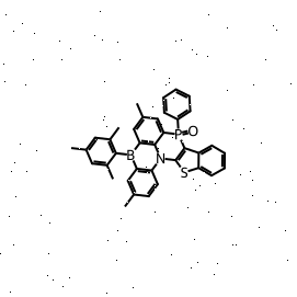 Cc1cc(C)c(B2c3cc(C)ccc3N3c4sc5ccccc5c4P(=O)(c4ccccc4)c4cc(C)cc2c43)c(C)c1